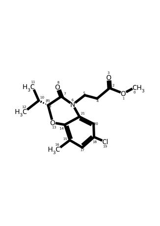 COC(=O)CCN1C(=O)[C@@H](C(C)C)Oc2c(C)cc(Cl)cc21